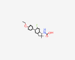 CCOc1ccc(-c2cc3c(cc2F)[C@H](NC(=O)O)C(C)(C)C3)cc1